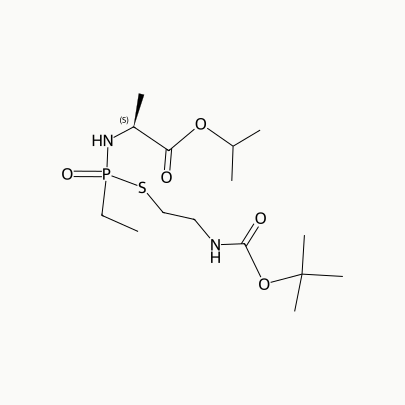 CCP(=O)(N[C@@H](C)C(=O)OC(C)C)SCCNC(=O)OC(C)(C)C